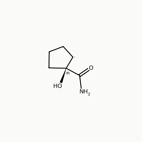 NC(=O)[C@@]1(O)[CH]CCC1